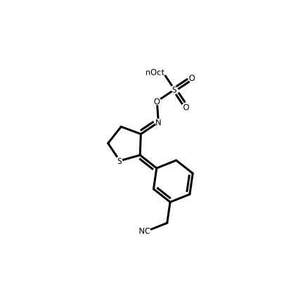 CCCCCCCCS(=O)(=O)ON=C1CCSC1=C1C=C(CC#N)C=CC1